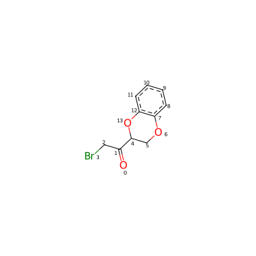 O=C(CBr)C1COc2ccccc2O1